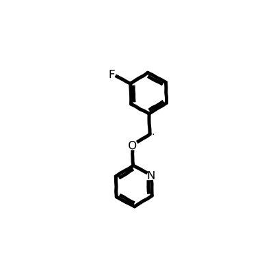 Fc1cccc([CH]Oc2ccccn2)c1